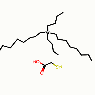 CCCCCCC[CH2][Sn]([CH2]CCC)([CH2]CCC)[CH2]CCCCCCC.O=C(O)CS